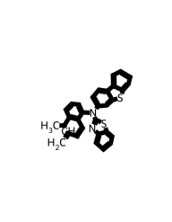 C=C/C=C\c1c(C(=C)C)cccc1N(c1ccc2c(c1)sc1ccccc12)c1nc2ccccc2s1